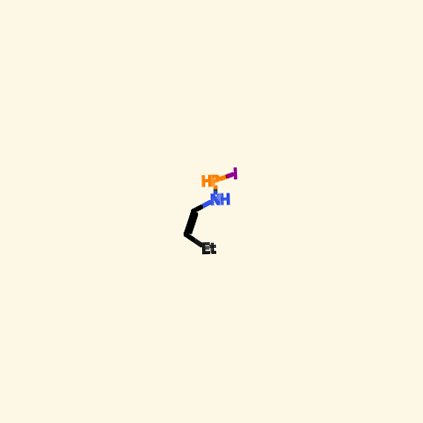 CC/C=C\NPI